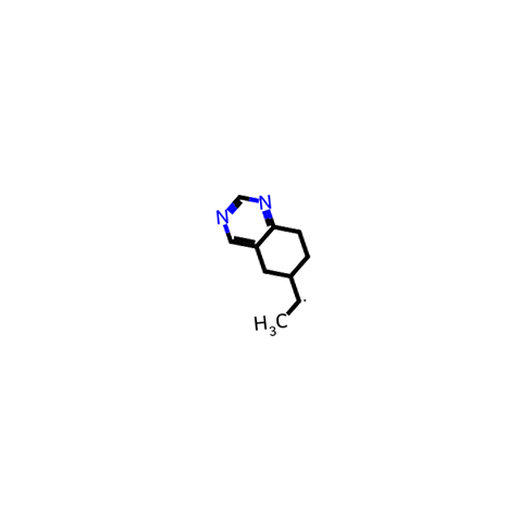 C[CH]C1CCc2ncncc2C1